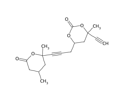 C#CC1(C)CC(CC#CC2(C)CC(C)CC(=O)O2)OC(=O)O1